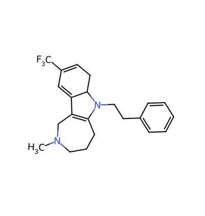 CN1CCCC2=C(C1)C1=CC(C(F)(F)F)=CCC1N2CCc1ccccc1